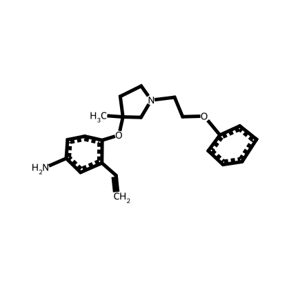 C=Cc1cc(N)ccc1OC1(C)CCN(CCOc2ccccc2)C1